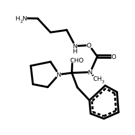 CN(C(=O)ONCCCN)C(C=O)(Cc1ccccc1)N1CCCC1